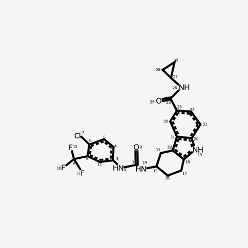 O=C(Nc1ccc(Cl)c(C(F)(F)F)c1)NC1CCc2[nH]c3ccc(C(=O)NC4CC4)cc3c2C1